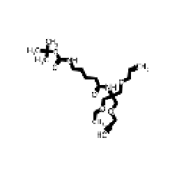 C#CCOCC(COCC)(COCC=C)NC(=O)CCCCNC(=O)OC(C)(C)C